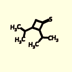 CC(C)C1CC(=S)C1C(C)C